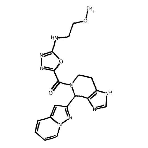 COCCNc1nnc(C(=O)N2CCc3[nH]cnc3C2c2cc3ccccn3n2)o1